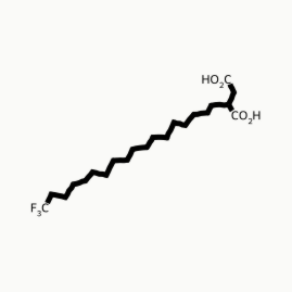 O=C(O)CC(CCCCCCCCCCCCCCCCCC(F)(F)F)C(=O)O